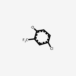 [O]c1ccc(Cl)cc1C(F)(F)F